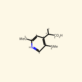 COc1cc(C(C)C(=O)O)c(SC)cn1